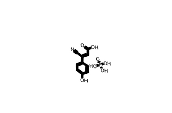 N#CC(=CC(=O)O)c1ccc(O)cc1.O=P(O)(O)O